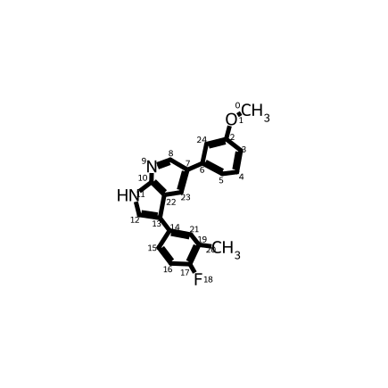 COc1cccc(-c2cnc3[nH]cc(-c4ccc(F)c(C)c4)c3c2)c1